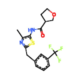 Cc1nc(Cc2cccc(C(F)(F)F)c2)sc1NC(=O)C1CCOC1